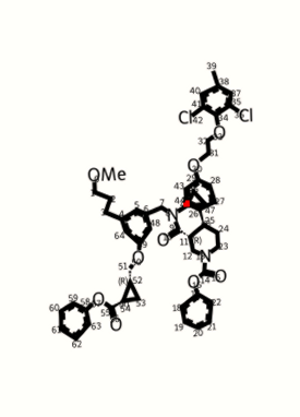 COCCCc1cc(CN(C(=O)[C@H]2CN(C(=O)Oc3ccccc3)CC[C@@H]2c2ccc(OCCOc3c(Cl)cc(C)cc3Cl)cc2)C2CC2)cc(OC[C@@H]2C[C@H]2C(=O)Oc2ccccc2)c1